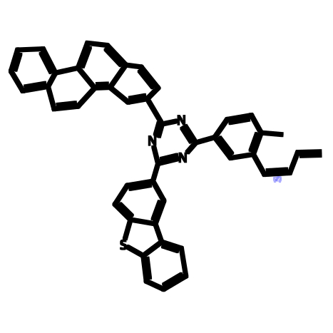 C=C/C=C\c1cc(-c2nc(-c3ccc4ccc5c6ccccc6ccc5c4c3)nc(-c3ccc4sc5ccccc5c4c3)n2)ccc1C